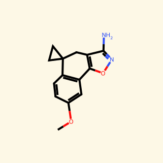 COc1ccc2c(c1)-c1onc(N)c1CC21CC1